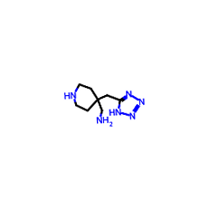 NCC1(Cc2nnn[nH]2)CCNCC1